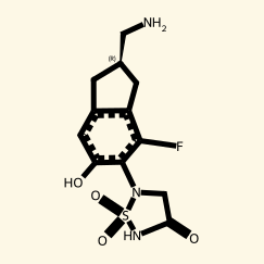 NC[C@@H]1Cc2cc(O)c(N3CC(=O)NS3(=O)=O)c(F)c2C1